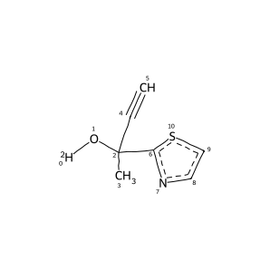 [2H]OC(C)(C#C)c1nccs1